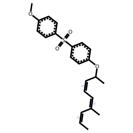 C\C=C/C(C)=C\C=C/C(C)Oc1ccc(S(=O)(=O)c2ccc(OC)cc2)cc1